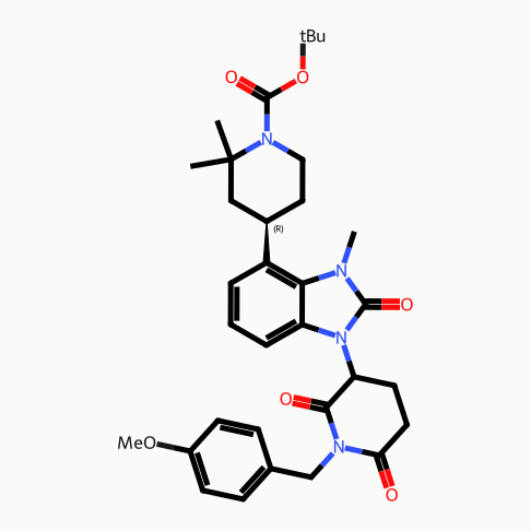 COc1ccc(CN2C(=O)CCC(n3c(=O)n(C)c4c([C@@H]5CCN(C(=O)OC(C)(C)C)C(C)(C)C5)cccc43)C2=O)cc1